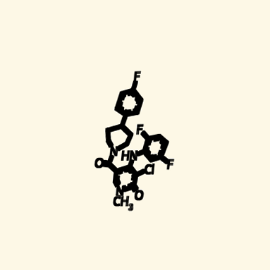 Cn1cc(C(=O)N2CCC(c3ccc(F)cc3)CC2)c(Nc2cc(F)ccc2F)c(Cl)c1=O